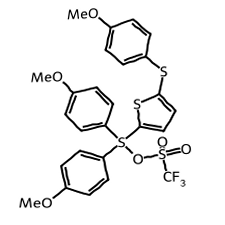 COc1ccc(Sc2ccc(S(OS(=O)(=O)C(F)(F)F)(c3ccc(OC)cc3)c3ccc(OC)cc3)s2)cc1